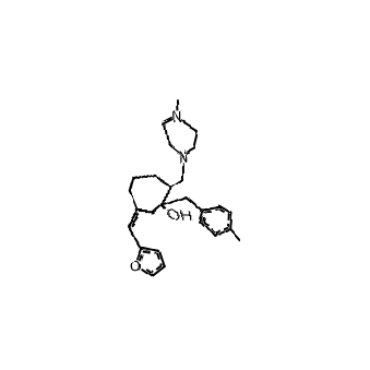 Cc1ccc(CC2(O)C/C(=C\c3ccco3)CCCC2CN2CCN(C)CC2)cc1